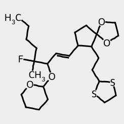 CCCCC(C)(F)C(C=CC1CCC2(OCCO2)C1CCC1SCCS1)OC1CCCCO1